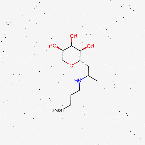 CCCCCCCCCCCCNC(C)C[C@@H]1OC[C@@H](O)C(O)[C@H]1O